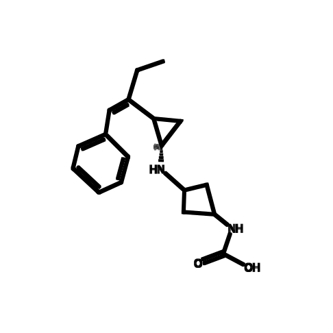 CCC(=Cc1ccccc1)C1C[C@@H]1NC1CC(NC(=O)O)C1